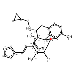 CC[C@H]([C@@H]1Oc2c(O)ccc3c2[C@@]12CC=C[C@@]2(O)[C@H](NCC1CC1)C3)N(C)C(=O)/C=C/c1ccoc1